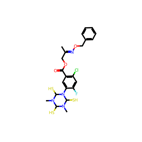 CC(COC(=O)c1cc(N2C(S)N(C)C(S)N(C)C2S)c(F)cc1Cl)=NOCc1ccccc1